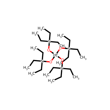 CC[Si](CC)(CC)[O][Hf]([O][Si](CC)(CC)CC)([O][Si](CC)(CC)CC)[O][Si](CC)(CC)CC